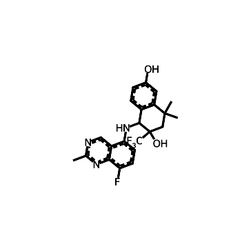 Cc1ncc2c(NC3c4ccc(O)cc4C(C)(C)CC3(O)C(F)(F)F)ccc(F)c2n1